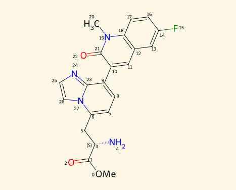 COC(=O)[C@@H](N)Cc1ccc(-c2cc3cc(F)ccc3n(C)c2=O)c2nccn12